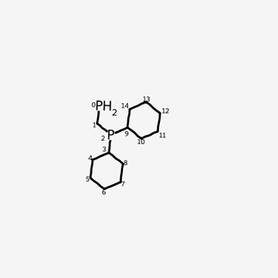 PCP(C1CCCCC1)C1CCCCC1